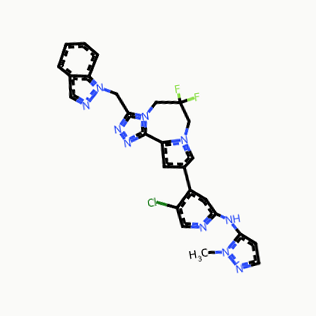 Cn1nccc1Nc1cc(-c2cc3n(c2)CC(F)(F)Cn2c(Cn4ncc5ccccc54)nnc2-3)c(Cl)cn1